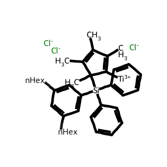 CCCCCCc1cc(CCCCCC)cc([Si](c2ccccc2)(c2ccccc2)C2(C)C(C)=C(C)C(C)=[C]2[Ti+3])c1.[Cl-].[Cl-].[Cl-]